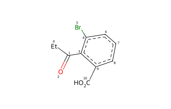 CCC(=O)c1c(Br)cccc1C(=O)O